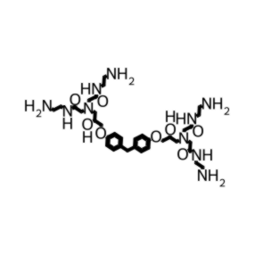 NCCNC(=O)CN(CC(=O)NCCN)CC(O)COc1ccc(Cc2ccc(OCC(O)CN(CC(=O)NCCN)CC(=O)NCCN)cc2)cc1